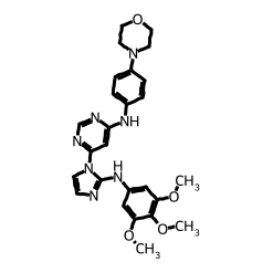 COc1cc(Nc2nccn2-c2cc(Nc3ccc(N4CCOCC4)cc3)ncn2)cc(OC)c1OC